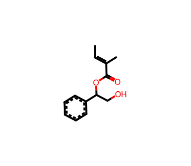 CC=C(C)C(=O)OC(CO)c1ccccc1